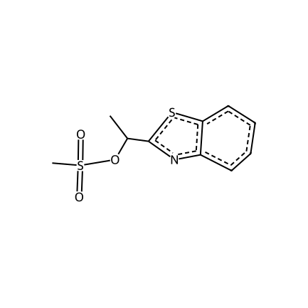 CC(OS(C)(=O)=O)c1nc2ccccc2s1